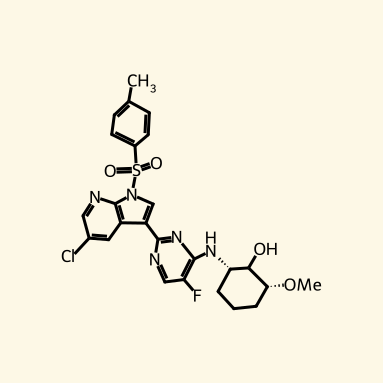 CO[C@@H]1CCC[C@H](Nc2nc(-c3cn(S(=O)(=O)c4ccc(C)cc4)c4ncc(Cl)cc34)ncc2F)C1O